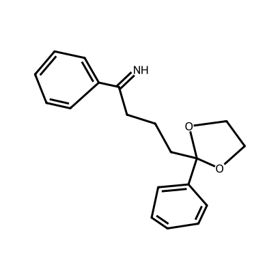 N=C(CCCC1(c2ccccc2)OCCO1)c1ccccc1